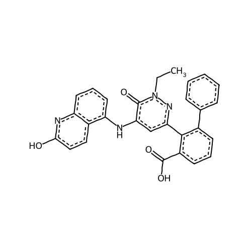 CCn1nc(-c2c(C(=O)O)cccc2-c2ccccc2)cc(Nc2cccc3nc(O)ccc23)c1=O